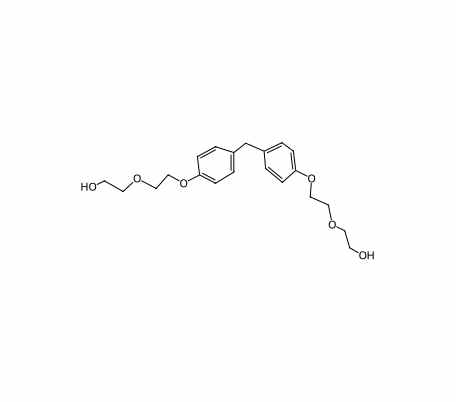 OCCOCCOc1ccc(Cc2ccc(OCCOCCO)cc2)cc1